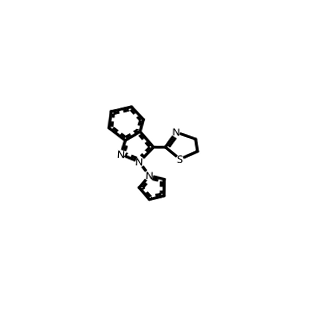 c1ccc2c(C3=NCCS3)n(-n3cccc3)nc2c1